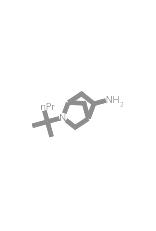 CCCC(C)(C)N1CC2CC1CC2N